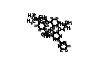 [2H]C([2H])(O)COc1nc(-c2ncccn2)nc(NS(=O)(=O)c2ccc(C(C)(C)C)cc2)c1Oc1ccccc1OCC